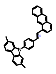 Cc1ccc2c3ccc(C)cc3n(-c3ccc(/C=C/c4cccc5cc6ccccc6cc45)cc3)c2c1